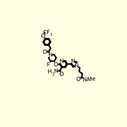 CNC(=O)CCCn1cnc(-c2cnc(O[C@@H]3CCN(C(=O)Cc4ccc(OC(F)(F)F)cc4)C[C@H]3F)c(C(N)=O)c2)c1